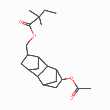 CCC(C)(C)C(=O)OCC1CC2CC1C1C3CC(CC3OC(C)=O)C21